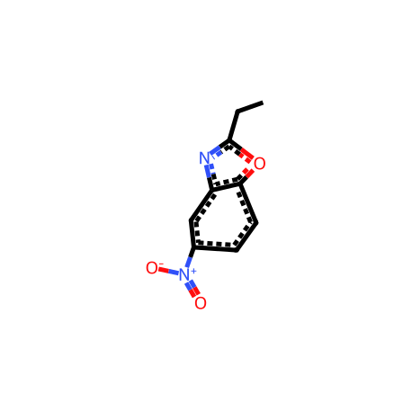 CCc1nc2cc([N+](=O)[O-])ccc2o1